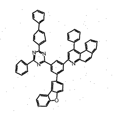 c1ccc(-c2ccc(-c3nc(-c4ccccc4)nc(-c4cc(-c5ccc6oc7ccccc7c6c5)cc(-c5cc(-c6ccccc6)c6c(ccc7ccccc76)n5)c4)n3)cc2)cc1